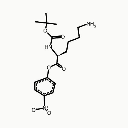 CC(C)(C)OC(=O)N[C@@H](CCCCN)C(=O)Oc1ccc([N+](=O)[O-])cc1